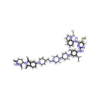 C=C1CCC(n2c(=C)c3ccc(N4CCC(CCN5CCN(C6CCN(c7cc(CC)c(Nc8ncc(SF)c(Nc9cccc%10c9N(SC)CC%10)n8)cc7C)CC6)CC5)CC4)cc3c2=C)C(=C)N1